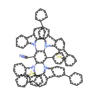 N#Cc1c(-n2c3ccccc3c3ccccc32)c(-n2c3ccc(-c4ccccc4)cc3c3ccc4c5ccccc5sc4c32)c(-c2ccccc2)c(-n2c3ccc(-c4ccccc4)cc3c3ccc4c5ccccc5sc4c32)c1-n1c2ccccc2c2ccccc21